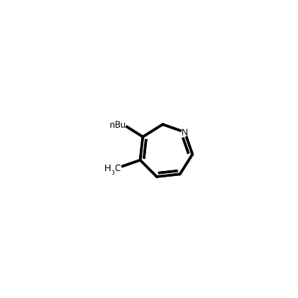 CCCCC1=C(C)C=CC=NC1